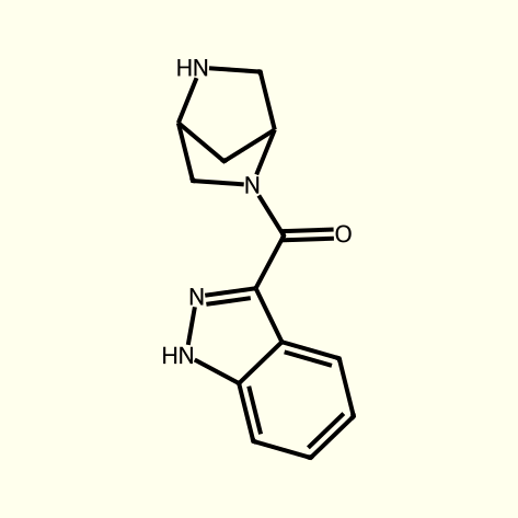 O=C(c1n[nH]c2ccccc12)N1CC2CC1CN2